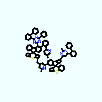 Cc1ccc(-c2ccccc2-c2ccc3c(c2-c2nc(-c4ccccc4)nc(-c4ccccc4-c4ccccc4)n2)-c2ccccc2C32c3ccccc3Sc3c(Cc4cc(C)nc(-c5ccc6c(c5)C5(c7ccccc7Sc7ccccc75)c5ccc(-c7cc(-c8ccccc8-c8ccccc8)nc(C)n7)cc5-6)c4)cccc32)nc1